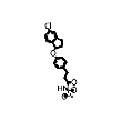 CS(=O)(=O)NC(=O)CCc1ccc(OC2CCc3cc(Cl)ccc32)cc1